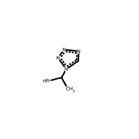 [CH2]CCC(C)n1cnnn1